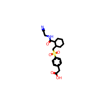 N#CCNC(=O)C1CCCCC1CS(=O)(=O)c1ccc(CC(=O)O)cc1